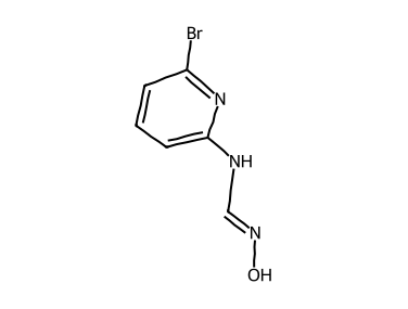 O/N=C/Nc1cccc(Br)n1